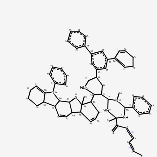 C=C(/C=C\C=C/C)C1(C)NC(c2ccccc2)N(C)C(C2CC(c3cc(C4=CCCC=C4)cc(-c4ccccc4)c3)CNC2C2CC=CC3C4C=CC5C6CCCC=C6N(c6ccccc6)C5C4SC32C)N1